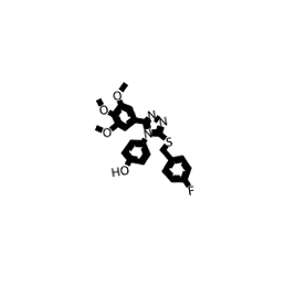 COc1cc(-c2nnc(SCc3ccc(F)cc3)n2-c2ccc(O)cc2)cc(OC)c1OC